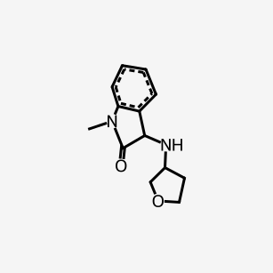 CN1C(=O)C(NC2CCOC2)c2ccccc21